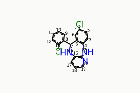 Clc1ccc2c(c1)C(c1ccccc1Cl)Nc1cccnc1N2